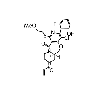 C=CC(=O)N1CCN2C(=O)c3c(SCCOC)nc(-c4c(O)cccc4F)c(Cl)c3OC[C@H]2C1